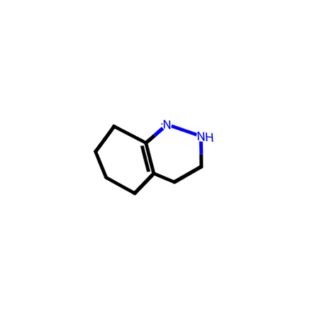 C1CCC2=C(C1)CCN[N]2